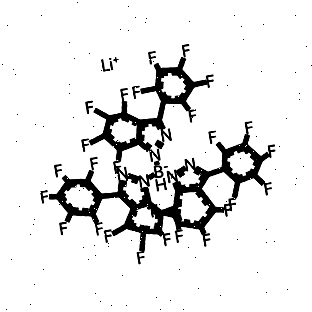 Fc1c(F)c(F)c(-c2nn([BH-](n3nc(-c4c(F)c(F)c(F)c(F)c4F)c4c(F)c(F)c(F)c(F)c43)n3nc(-c4c(F)c(F)c(F)c(F)c4F)c4c(F)c(F)c(F)c(F)c43)c3c(F)c(F)c(F)c(F)c23)c(F)c1F.[Li+]